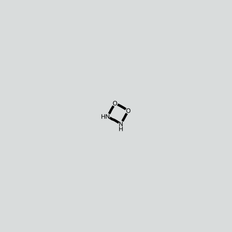 N1NOO1